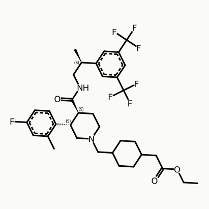 CCOC(=O)CC1CCC(CN2CC[C@H](C(=O)NC[C@@H](C)c3cc(C(F)(F)F)cc(C(F)(F)F)c3)[C@@H](c3ccc(F)cc3C)C2)CC1